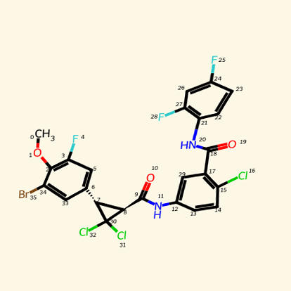 COc1c(F)cc([C@@H]2[C@@H](C(=O)Nc3ccc(Cl)c(C(=O)Nc4ccc(F)cc4F)c3)C2(Cl)Cl)cc1Br